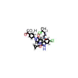 C=C(Cl)/C=C\C=C(/F)[C@H]1[C@@H]2C(=O)N(c3ccc(C(=O)C(=O)O)cc3)C[C@@H]2N(CC2CC2)[C@@]12C(=O)Nc1cc(Cl)ccc12